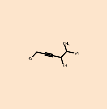 CCCC(C)C(S)C#CCS